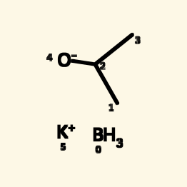 B.CC(C)[O-].[K+]